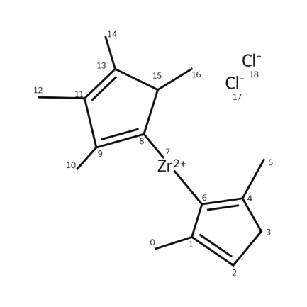 CC1=CCC(C)=[C]1[Zr+2][C]1=C(C)C(C)=C(C)C1C.[Cl-].[Cl-]